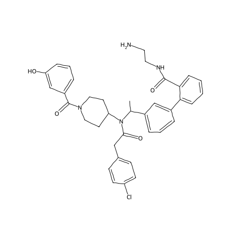 CC(c1cccc(-c2ccccc2C(=O)NCCN)c1)N(C(=O)Cc1ccc(Cl)cc1)C1CCN(C(=O)c2cccc(O)c2)CC1